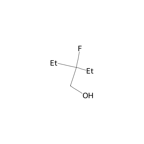 CCC(F)(CC)CO